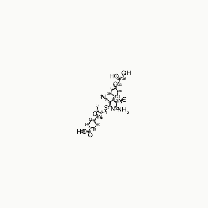 [C-]#[N+]c1c(N)nc(SCc2nc(-c3ccc(C(=O)O)cc3)oc2C)c(C#N)c1-c1ccc(OC[C@@H](O)CO)cc1